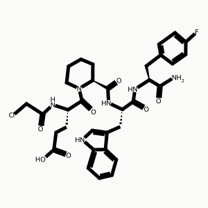 NC(=O)[C@H](Cc1ccc(F)cc1)NC(=O)[C@H](Cc1c[nH]c2ccccc12)NC(=O)[C@@H]1CCCCN1C(=O)[C@H](CCC(=O)O)NC(=O)CCl